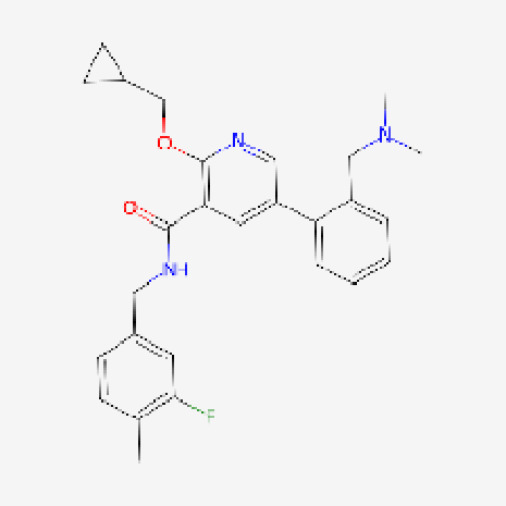 Cc1ccc(CNC(=O)c2cc(-c3ccccc3CN(C)C)cnc2OCC2CC2)cc1F